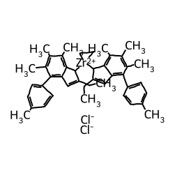 CCC1=Cc2c(-c3ccc(C)cc3)c(C)c(C)c(C)c2[CH]1[Zr+2]1([CH]2C(CC)=Cc3c(-c4ccc(C)cc4)c(C)c(C)c(C)c32)[CH2][CH2]1.[Cl-].[Cl-]